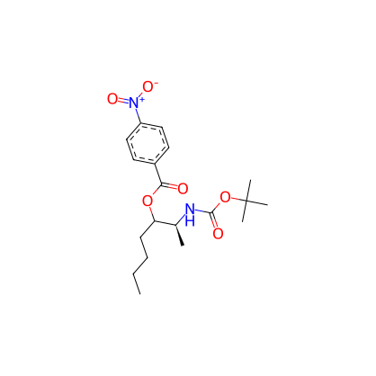 CCCCC(OC(=O)c1ccc([N+](=O)[O-])cc1)[C@H](C)NC(=O)OC(C)(C)C